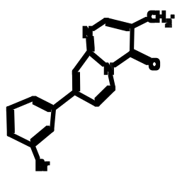 [CH2]c1cnc2cc(-c3cccc(Br)c3)ccn2c1=O